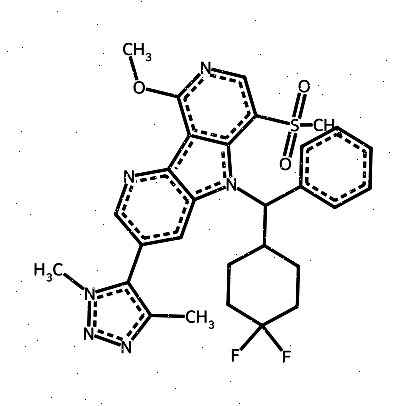 COc1ncc(S(C)(=O)=O)c2c1c1ncc(-c3c(C)nnn3C)cc1n2C(c1ccccc1)C1CCC(F)(F)CC1